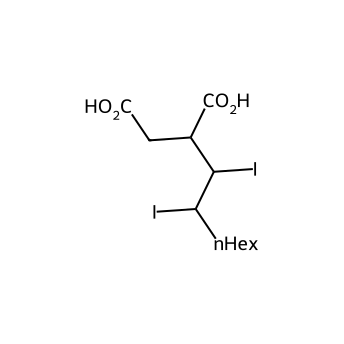 CCCCCCC(I)C(I)C(CC(=O)O)C(=O)O